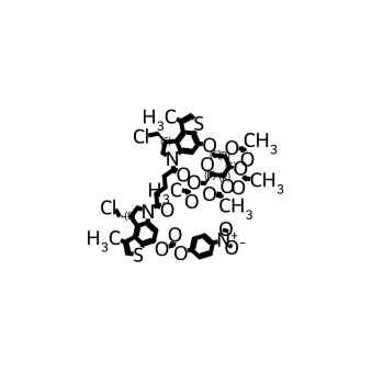 CC(=O)OC[C@H]1O[C@@H](Oc2cc3c(c4c(C)csc24)[C@H](CCl)CN3C(=O)CCCC(=O)N2C[C@@H](CCl)c3c2cc(OC(=O)Oc2ccc([N+](=O)[O-])cc2)c2scc(C)c32)[C@H](OC(C)=O)[C@@H](OC(C)=O)[C@@H]1OC(C)=O